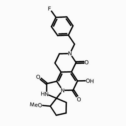 COC1CCCC12NC(=O)c1c3c(c(O)c(=O)n12)C(=O)N(Cc1ccc(F)cc1)CC3